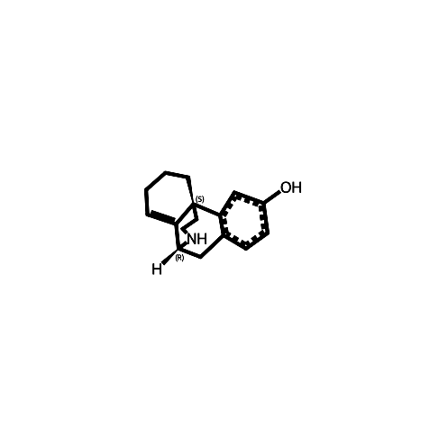 Oc1ccc2c(c1)[C@@]13CCCC=C1[C@@H](C2)NCC3